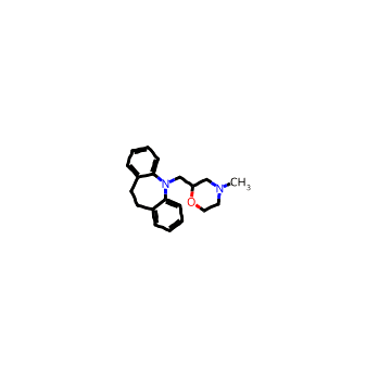 CN1CCOC(CN2c3ccccc3CCc3ccccc32)C1